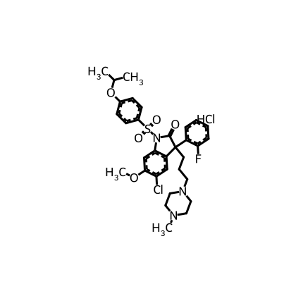 COc1cc2c(cc1Cl)C(CCCN1CCN(C)CC1)(c1ccccc1F)C(=O)N2S(=O)(=O)c1ccc(OC(C)C)cc1.Cl